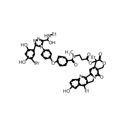 CCNC(O)c1nnc(-c2cc(C(C)C)c(O)cc2O)n1-c1ccc(Oc2ccc(C(=O)N(C)CCC(=O)OC3(CC)C(=O)OCc4c3cc3n(c4=O)Cc4c-3nc3ccc(O)cc3c4CC)cc2)cc1